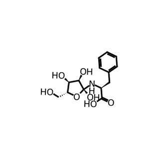 O=C(O)[C@H](Cc1ccccc1)N[C@]1(O)O[C@H](CO)[C@@H](O)[C@H]1O